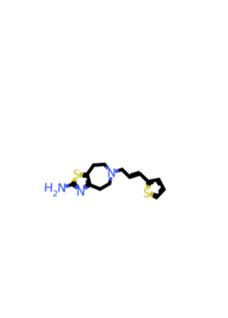 Nc1nc2c(s1)CCN(C/C=C/c1cccs1)CC2